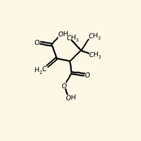 C=C(C(=O)O)C(C(=O)OO)C(C)(C)C